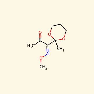 CON=C(C(C)=O)C1(C)OCCCO1